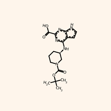 CC(C)(C)OC(=O)N1CCC[C@@H](Nc2nc(C(=O)O)nc3[nH]ccc23)C1